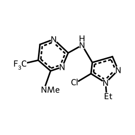 CCn1ncc(Nc2ncc(C(F)(F)F)c(NC)n2)c1Cl